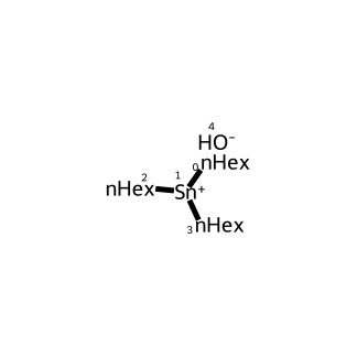 CCCCC[CH2][Sn+]([CH2]CCCCC)[CH2]CCCCC.[OH-]